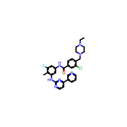 CCN1CCN(Cc2ccc(C(=O)Nc3cc(F)c(C)c(Nc4nccc(-c5cccnc5)n4)c3)cc2Cl)CC1